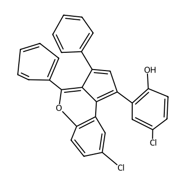 Oc1ccc(Cl)cc1-c1cc(-c2ccccc2)c2c(-c3ccccc3)oc3ccc(Cl)cc3c1-2